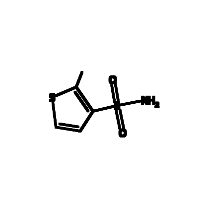 Cc1sccc1S(N)(=O)=O